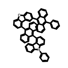 c1ccc(-c2c3ccccc3c(-c3ccc4oc5cccc(-c6c7ccccc7c(-c7cccc8c7c7ccccc7n8-c7ccccc7)c7ccccc67)c5c4c3)c3ccccc23)cc1